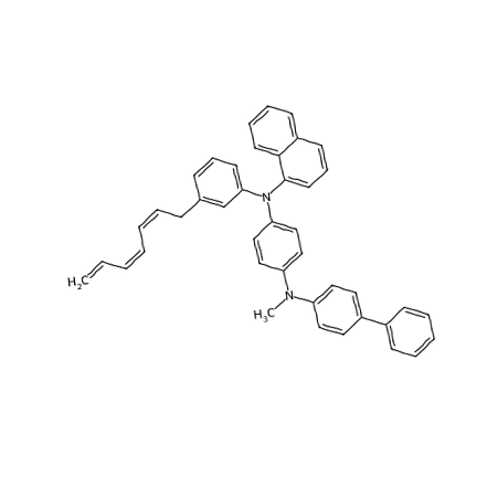 C=C/C=C\C=C/Cc1cccc(N(c2ccc(N(C)c3ccc(-c4ccccc4)cc3)cc2)c2cccc3ccccc23)c1